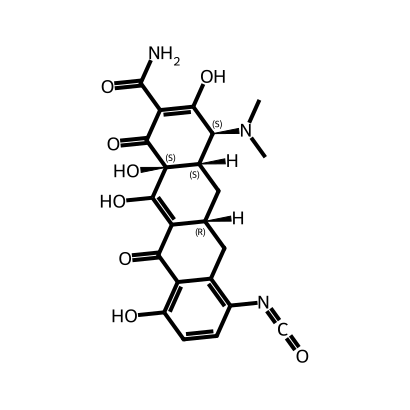 CN(C)[C@@H]1C(O)=C(C(N)=O)C(=O)[C@@]2(O)C(O)=C3C(=O)c4c(O)ccc(N=C=O)c4C[C@H]3C[C@@H]12